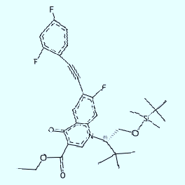 CCOC(=O)c1cn([C@H](CO[Si](C)(C)C(C)(C)C)C(C)(C)C)c2cc(F)c(C#Cc3ccc(F)cc3F)cc2c1=O